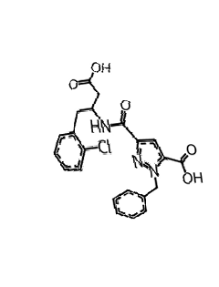 O=C(O)CC(Cc1ccccc1Cl)NC(=O)c1cc(C(=O)O)n(Cc2ccccc2)n1